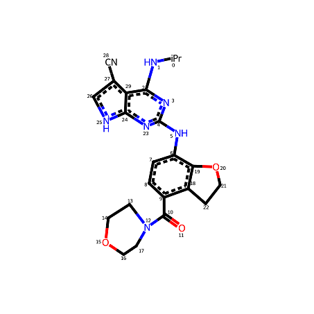 CC(C)Nc1nc(Nc2ccc(C(=O)N3CCOCC3)c3c2OCC3)nc2[nH]cc(C#N)c12